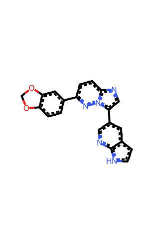 c1cc2cc(-c3cnc4ccc(-c5ccc6c(c5)OCO6)nn34)cnc2[nH]1